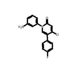 Nc1cccc(-n2cc(-c3ccc(F)cc3)c(Cl)cc2=O)c1